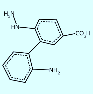 NNc1ccc(C(=O)O)cc1-c1ccccc1N